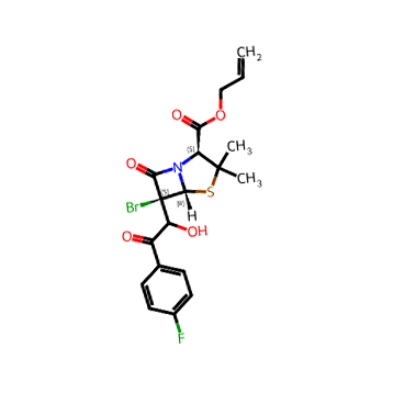 C=CCOC(=O)[C@@H]1N2C(=O)[C@@](Br)(C(O)C(=O)c3ccc(F)cc3)[C@H]2SC1(C)C